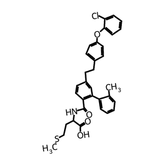 CSCCC(NC(=O)c1ccc(CCc2ccc(Oc3ccccc3Cl)cc2)cc1-c1ccccc1C)C(=O)O